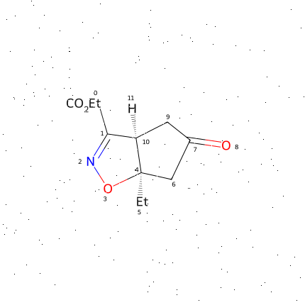 CCOC(=O)C1=NO[C@]2(CC)CC(=O)C[C@H]12